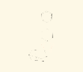 c1ccc(C2CCC3(CC2)OOC2(O3)C3CC4CC(C3)CC2C4)cc1